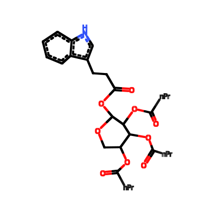 CCCC(=O)OC1COC(OC(=O)CCc2c[nH]c3ccccc23)C(OC(=O)CCC)C1OC(=O)CCC